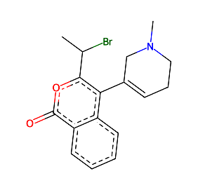 CC(Br)c1oc(=O)c2ccccc2c1C1=CCCN(C)C1